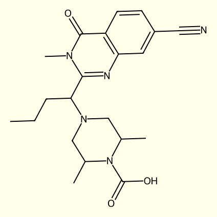 CCCC(c1nc2cc(C#N)ccc2c(=O)n1C)N1CC(C)N(C(=O)O)C(C)C1